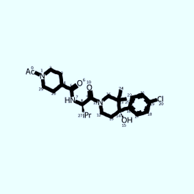 CC(=O)N1CCC(C(=O)N[C@@H](C(=O)N2CC[C@](O)(c3ccc(Cl)cc3)C(C)(C)C2)C(C)C)CC1